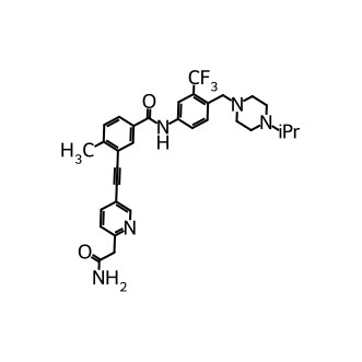 Cc1ccc(C(=O)Nc2ccc(CN3CCN(C(C)C)CC3)c(C(F)(F)F)c2)cc1C#Cc1ccc(CC(N)=O)nc1